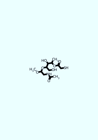 COC(CNC(C)=O)OC(CO)C(O)C(C)OC(=O)CS